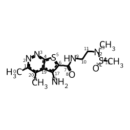 Cc1nnc2sc(C(=O)NCCN(C)[S+](C)[O-])c(N)c2c1C